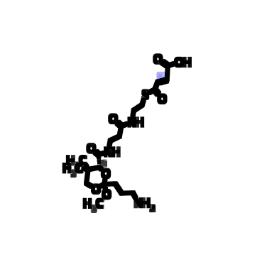 COC1(CCCN)OCC(C)(C)[C@H](C(=O)NCCC(=O)NCCSC(=O)/C=C/C(=O)O)O1